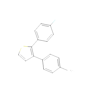 CSc1ccc(-c2ccsc2-c2ccc(F)cc2)cc1